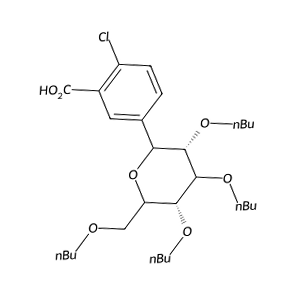 CCCCOCC1OC(c2ccc(Cl)c(C(=O)O)c2)[C@H](OCCCC)C(OCCCC)[C@@H]1OCCCC